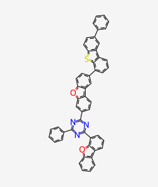 c1ccc(-c2ccc3sc4c(-c5ccc6oc7cc(-c8nc(-c9ccccc9)nc(-c9cccc%10c9oc9ccccc9%10)n8)ccc7c6c5)cccc4c3c2)cc1